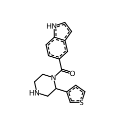 O=C(c1ccc2[nH]ccc2c1)N1CCNCC1c1ccsc1